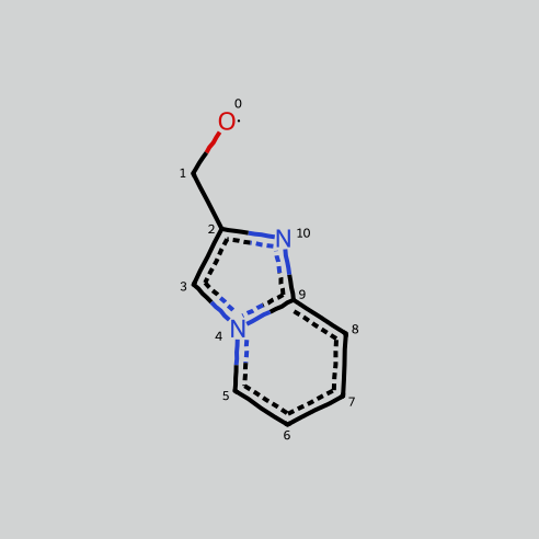 [O]Cc1cn2ccccc2n1